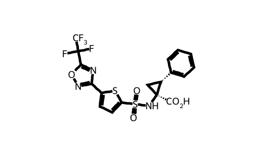 O=C(O)[C@]1(NS(=O)(=O)c2ccc(-c3noc(C(F)(F)C(F)(F)F)n3)s2)C[C@@H]1c1ccccc1